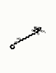 Cn1cnc2c1c(=O)n(CCCCCCCCCC(O)CNCCN1CCCCC1)c(=O)n2C